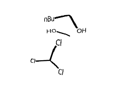 CCCCCO.CO.ClC(Cl)Cl